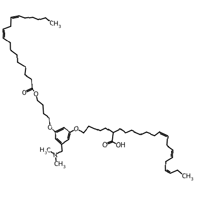 CC/C=C\C/C=C\C/C=C\CCCCCCC(CCCCOc1cc(CN(C)C)cc(OCCCCOC(=O)CCCCCCC/C=C\C/C=C\CCCCC)c1)C(=O)O